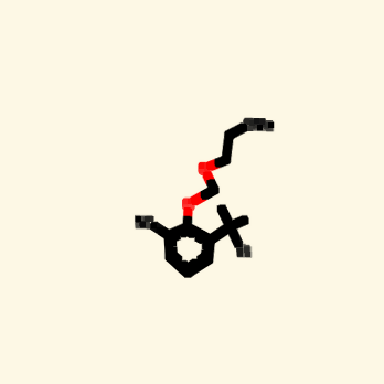 CCC(C)(C)c1cccc(C#N)c1OCOCCOC